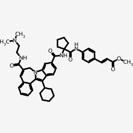 COC(=O)/C=C/c1ccc(NC(=O)C2(NC(=O)c3ccc4c(C5CCCCC5)c5n(c4c3)CC(C(=O)NCCN(C)C)=Cc3ccccc3-5)CCCC2)cc1